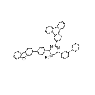 CC[C@H]1C=C(c2cccc(-c3ccccc3)c2)N=C(c2ccc3c4ccccc4c4ccccc4c3c2)N=C1c1ccc(-c2ccc3c(c2)oc2ccccc23)cc1